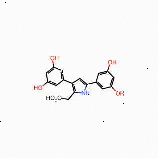 O=C(O)Cc1[nH]c(-c2cc(O)cc(O)c2)cc1-c1cc(O)cc(O)c1